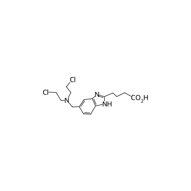 O=C(O)CCCc1nc2cc(CN(CCCl)CCCl)ccc2[nH]1